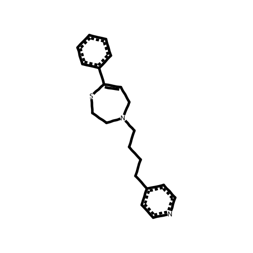 C1=C(c2ccccc2)SCCN(CCCCc2ccncc2)C1